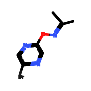 CC(C)=NOc1cnc(C(C)C)cn1